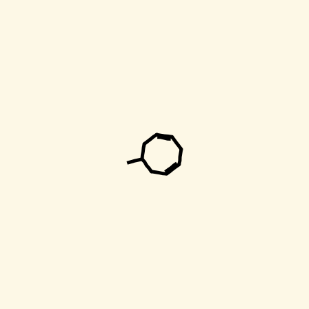 CC1C/C=C\C/C=C\C1